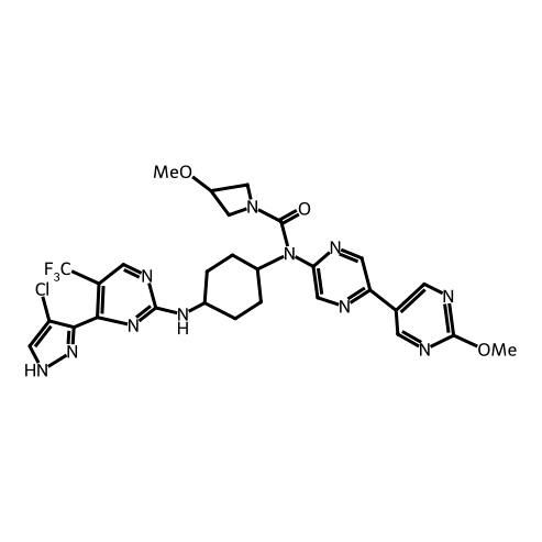 COc1ncc(-c2cnc(N(C(=O)N3CC(OC)C3)C3CCC(Nc4ncc(C(F)(F)F)c(-c5n[nH]cc5Cl)n4)CC3)cn2)cn1